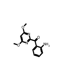 COc1cc(OC)nc(C(=O)c2ccccc2N)n1